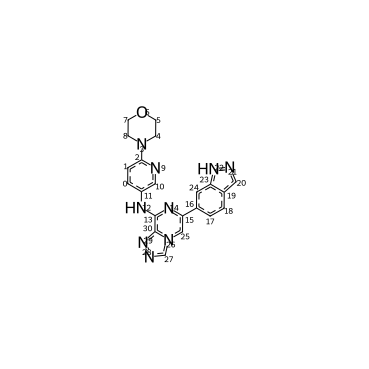 c1cc(N2CCOCC2)ncc1Nc1nc(-c2ccc3cn[nH]c3c2)cn2cnnc12